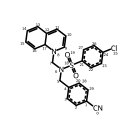 N#Cc1ccc(CN(CN2C=CC=C3C=CC=CC32)S(=O)(=O)c2ccc(Cl)cc2)cc1